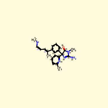 C=N/C=C\C=C(/C)c1cccc(C2(c3cccc(C(F)(F)F)n3)N=C(N)N(C)C2=O)c1